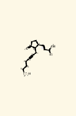 CCC(O)/C=C/C1CCC(=O)C1CC#CCCCC(=O)O